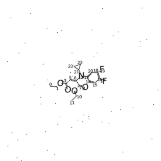 CCOC(=O)/C=C(\C(=O)OCC)N(c1ccc(F)c(F)c1)C1CC1